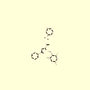 Cc1cc(C)c(Cn2nc(-c3ccccc3)cc2C(=O)NS(=O)(=O)c2cccc(N)c2)c(C)c1